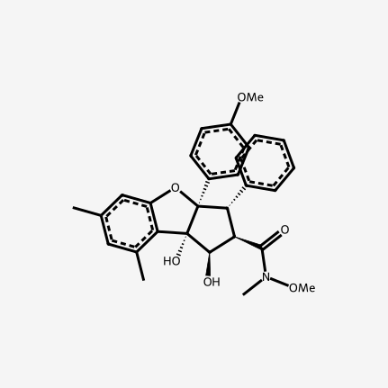 COc1ccc([C@@]23Oc4cc(C)cc(C)c4[C@]2(O)[C@H](O)[C@H](C(=O)N(C)OC)[C@H]3c2ccccc2)cc1